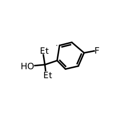 CCC(O)(CC)c1[c]cc(F)cc1